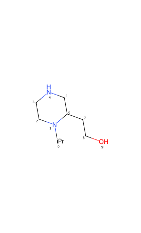 CC(C)N1CCNCC1CCO